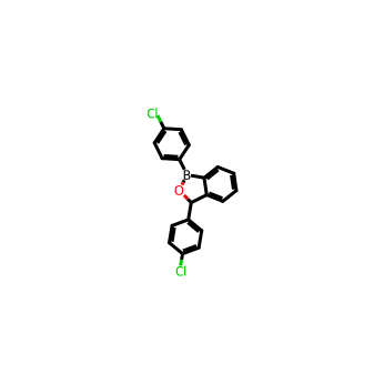 Clc1ccc(B2OC(c3ccc(Cl)cc3)c3ccccc32)cc1